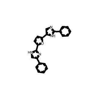 c1ccc(-c2c[nH]c(-c3ccc(-c4cnc(-c5ccccc5)[nH]4)o3)n2)cc1